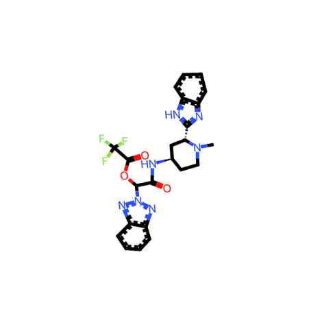 CN1CC[C@@H](NC(=O)C(OC(=O)C(F)(F)F)n2nc3ccccc3n2)C[C@@H]1c1nc2ccccc2[nH]1